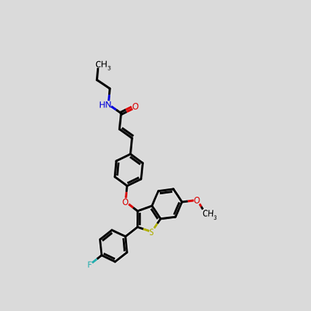 CCCNC(=O)/C=C/c1ccc(Oc2c(-c3ccc(F)cc3)sc3cc(OC)ccc23)cc1